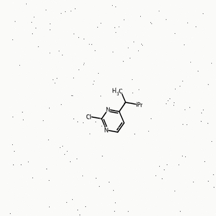 CC(C)C(C)c1ccnc(Cl)n1